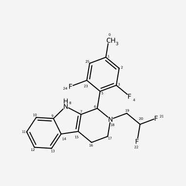 Cc1cc(F)c(C2c3[nH]c4ccccc4c3CCN2CC(F)F)c(F)c1